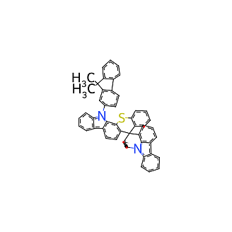 CC1(C)c2ccccc2-c2ccc(-n3c4ccccc4c4ccc5c(c43)Sc3ccccc3C53c4ccccc4-n4c5ccccc5c5cccc3c54)cc21